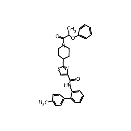 Cc1ccc(-c2ccccc2NC(=O)c2csc(C3CCN(C(=O)C(C)Oc4ccccc4)CC3)n2)cc1